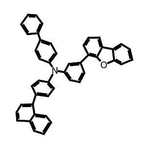 c1ccc(-c2ccc(N(c3ccc(-c4cccc5ccccc45)cc3)c3cccc(-c4cccc5c4oc4ccccc45)c3)cc2)cc1